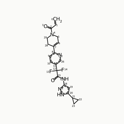 C=CC(=O)N1CC=C(c2ccc(C(F)(F)C(=O)Nc3cc(C4CC4)[nH]n3)cn2)CC1